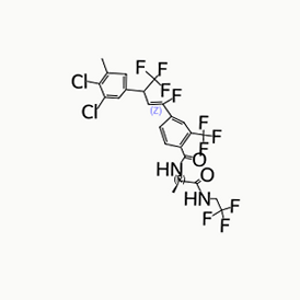 Cc1cc(C(/C=C(\F)c2ccc(C(=O)N[C@H](C)C(=O)NCC(F)(F)F)c(C(F)(F)F)c2)C(F)(F)F)cc(Cl)c1Cl